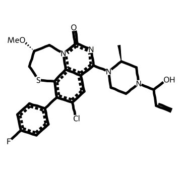 C=CC(O)N1CCN(c2nc(=O)n3c4c(c(-c5ccc(F)cc5)c(Cl)cc24)SC[C@H](OC)C3)[C@@H](C)C1